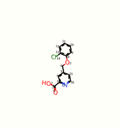 O=C(O)c1cc(COc2ccccc2Cl)ccn1